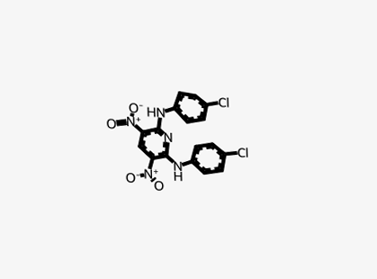 O=[N+]([O-])c1cc([N+](=O)[O-])c(Nc2ccc(Cl)cc2)nc1Nc1ccc(Cl)cc1